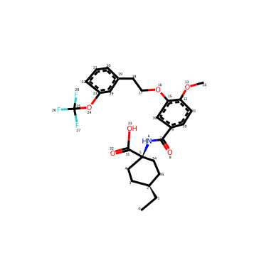 CC[C@H]1CC[C@](NC(=O)c2ccc(OC)c(OCCc3cccc(OC(F)(F)F)c3)c2)(C(=O)O)CC1